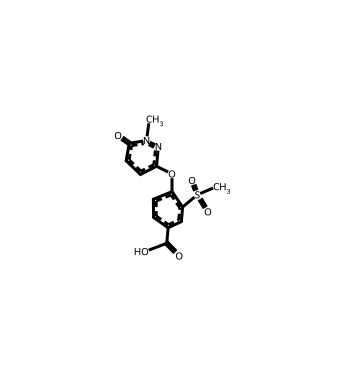 Cn1nc(Oc2ccc(C(=O)O)cc2S(C)(=O)=O)ccc1=O